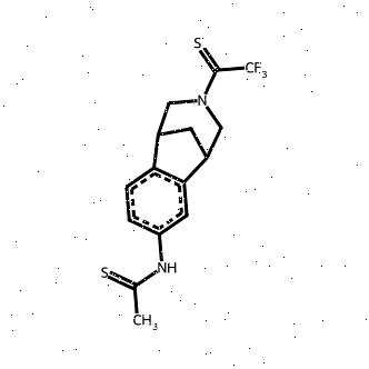 CC(=S)Nc1ccc2c(c1)C1CC2CN(C(=S)C(F)(F)F)C1